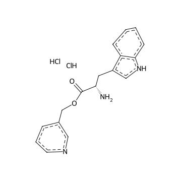 Cl.Cl.N[C@@H](Cc1c[nH]c2ccccc12)C(=O)OCc1cccnc1